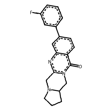 O=c1c2ccc(-c3cccc(F)c3)cc2nc2n1CC1CCCN1C2